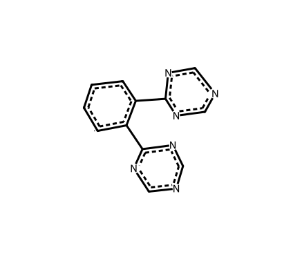 [c]1cccc(-c2ncncn2)c1-c1ncncn1